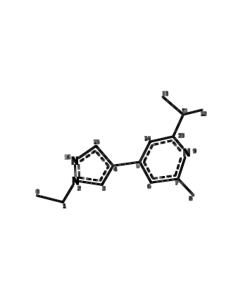 CCn1cc(-c2cc(C)nc(C(C)C)c2)cn1